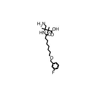 CC(CN)(NC(=O)CCCCCCCOCc1cccc(F)c1)C(C)(C)C(=O)O